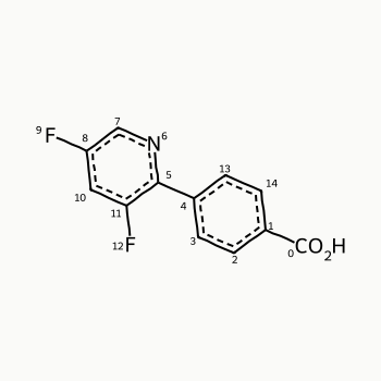 O=C(O)c1ccc(-c2ncc(F)cc2F)cc1